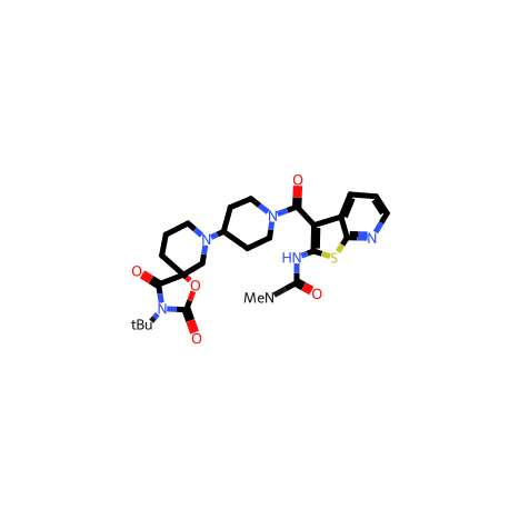 CNC(=O)Nc1sc2ncccc2c1C(=O)N1CCC(N2CCCC3(C2)OC(=O)N(C(C)(C)C)C3=O)CC1